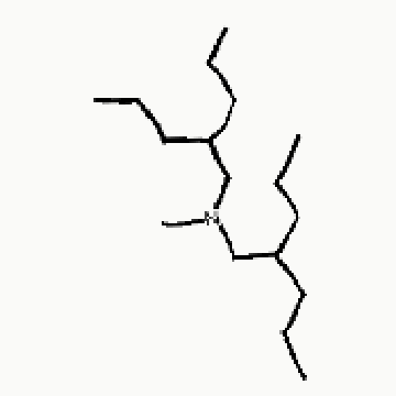 CCCC(CCC)CN(C)CC(CCC)CCC